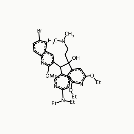 CCOc1cc(C(O)(CCN(C)C)C(c2ccc(N(CC)CC)nc2)c2cc3cc(Br)ccc3nc2OC)cc(OCC)n1